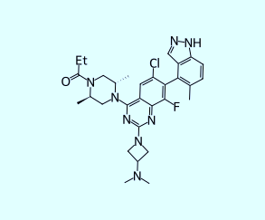 CCC(=O)N1C[C@H](C)N(c2nc(N3CC(N(C)C)C3)nc3c(F)c(-c4c(C)ccc5[nH]ncc45)c(Cl)cc23)C[C@H]1C